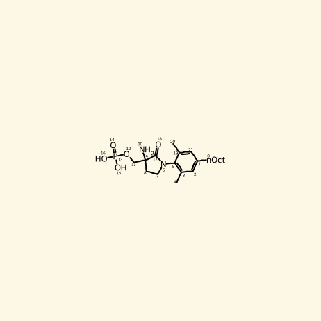 CCCCCCCCc1cc(C)c(N2CCC(N)(COP(=O)(O)O)C2=O)c(C)c1